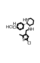 Cc1sc(Cl)cc1CN[C@H]1CCCN[C@H]1c1ccccc1.Cl.Cl